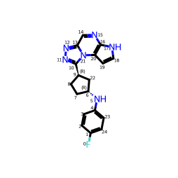 Fc1ccc(N[C@@H]2CC[C@@H](c3nnc4cnc5[nH]ccc5n34)C2)cc1